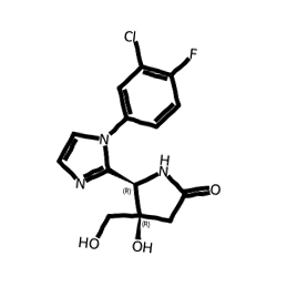 O=C1C[C@](O)(CO)[C@@H](c2nccn2-c2ccc(F)c(Cl)c2)N1